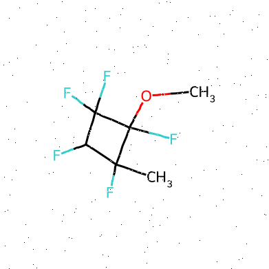 COC1(F)C(C)(F)C(F)C1(F)F